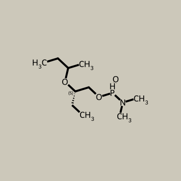 CCC(C)O[C@@H](CC)CO[PH](=O)N(C)C